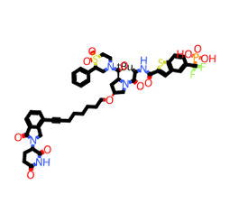 CC(C)(C)C(NC(=O)c1cc2cc(C(F)(F)P(=O)(O)O)ccc2s1)C(=O)N1C[C@@H](OCCCCCCC#Cc2cccc3c2CN(C2CCC(=O)NC2=O)C3=O)C[C@H]1C(=O)N1CCS(=O)(=O)C(c2ccccc2)C1